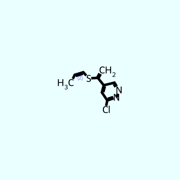 C=C(S/C=C\C)c1cnnc(Cl)c1